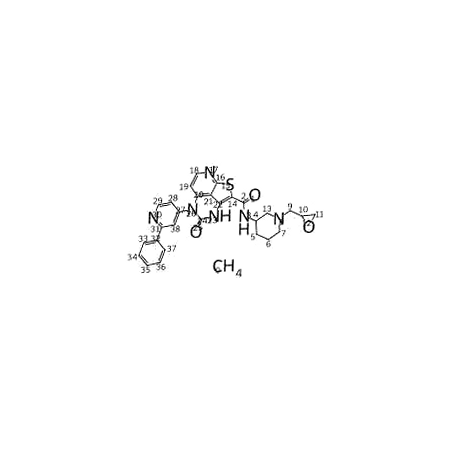 C.O=C(NC1CCCN(CC2CO2)C1)c1sc2nccc3c2c1NC(=O)N3c1ccnc(-c2ccccc2)c1